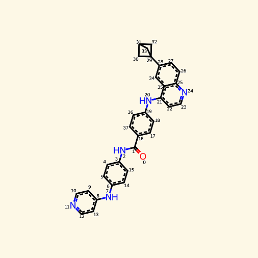 O=C(Nc1ccc(Nc2ccncc2)cc1)c1ccc(Nc2ccnc3ccc(C45CC(C4)C5)cc23)cc1